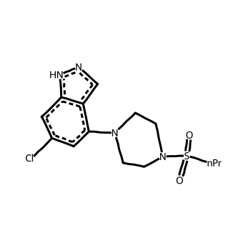 CCCS(=O)(=O)N1CCN(c2cc(Cl)cc3[nH]ncc23)CC1